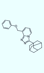 c1ccc(OCc2cccn3c(C45CC6CC(CC(C6)C4)C5)nnc23)cc1